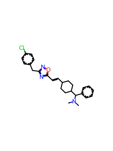 CN(C)C(c1ccccc1)C1CCC(/C=C/c2nc(Cc3ccc(Cl)cc3)no2)CC1